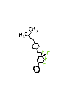 CCC(C)CCC1CCC(CCC2(C(F)(F)F)C=CC(c3ccccc3)=C(F)C2)CC1